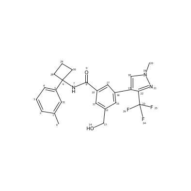 Cc1cccc(C2(NC(=O)c3cc(CO)cc(-c4cn(C)nc4C(F)(F)F)c3)CCC2)c1